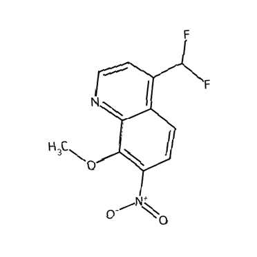 COc1c([N+](=O)[O-])ccc2c(C(F)F)ccnc12